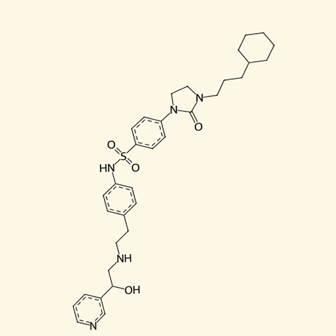 O=C1N(CCCC2CCCCC2)CCN1c1ccc(S(=O)(=O)Nc2ccc(CCNCC(O)c3cccnc3)cc2)cc1